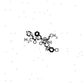 C=C(CN1CCSCC1)C(=O)NC[C@H](Cc1ccccc1)NC(=O)[C@H](Cc1nc2ccc(Cl)cc2s1)NC(=O)CCC